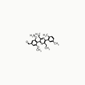 CCc1nc(-c2c(OC)cc(C=O)cc2OC)c(CC)nc1-c1cc(C)ccc1C